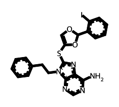 Nc1ncnc2c1nc(SC1=COC(c3ccccc3I)O1)n2CCc1ccccc1